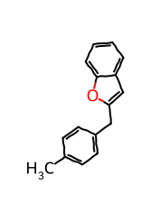 Cc1ccc(Cc2cc3ccccc3o2)cc1